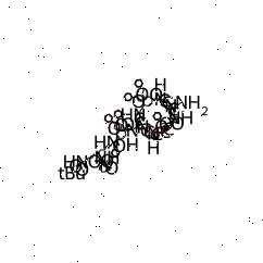 CC(C)(C)OC(=O)NCCCCC(CCCCNC(=O)C1=CC(OCc2ccccc2)C(OCc2ccccc2)=C(C(=O)NCCN2CCNCc3ccc(c(OCc4ccccc4)c3OCc3ccccc3)C(=O)NCCN(CCN)CCNC(=O)C3C=CC(CNCC2)C(OCc2ccccc2)C(OCc2ccccc2)C3)CC1)NC(=O)C1=CCCC(=O)N1OCc1ccccc1